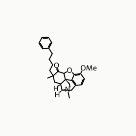 COc1ccc2c3c1OC1C(=O)C(C)(CCCCc4ccccc4)C[C@H]4[C@@H](C2)N(C)CC[C@]314